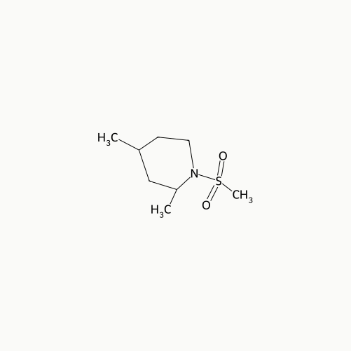 CC1CCN(S(C)(=O)=O)C(C)C1